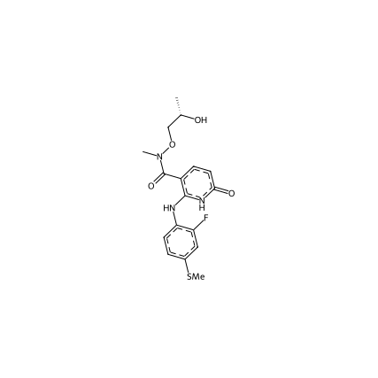 CSc1ccc(Nc2[nH]c(=O)ccc2C(=O)N(C)OC[C@H](C)O)c(F)c1